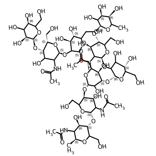 CC(=O)NC1C(O)[C@H](O[C@@H]2OC(CO)[C@H](O)C(O)[C@@H]2O)[C@H](CO)O[C@H]1OC1[C@@H](OCC2O[C@@H](O[C@@H]3C(CO)O[C@@H](O[C@@H]4C(CO)O[C@@H](C)C(NC(C)=O)[C@H]4O)C(NC(C)=O)[C@H]3O)C(O)[C@@H](O[C@H]3OC(CO)[C@@H](O)C(O)C3O[C@@H]3OC(CO)[C@@H](O[C@@H]4OC(C)[C@H](O)[C@H](O)C4O)[C@H](O)C3NC(C)=O)[C@@H]2O)OC(CO)[C@@H](O)[C@@H]1O